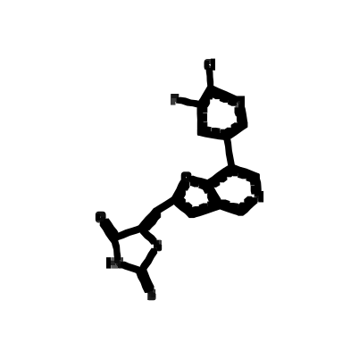 O=C1NC(=S)S/C1=C\c1cc2cncc(-c3cnc(Cl)c(F)c3)c2o1